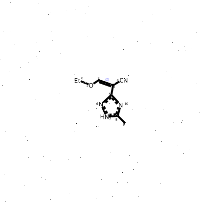 CCO/C=C(/C#N)c1n[nH]c(C)n1